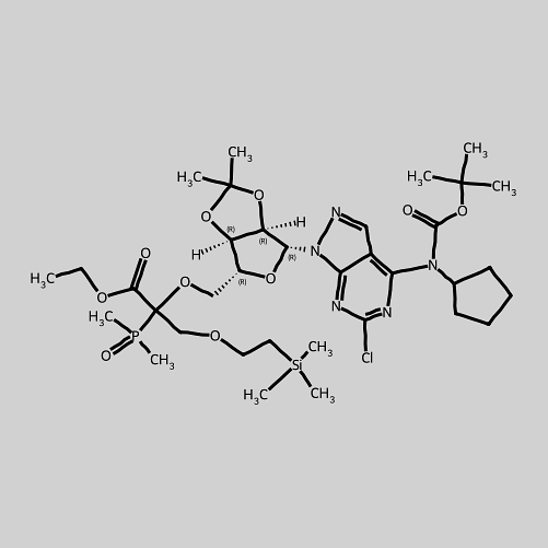 CCOC(=O)C(COCC[Si](C)(C)C)(OC[C@H]1O[C@@H](n2ncc3c(N(C(=O)OC(C)(C)C)C4CCCC4)nc(Cl)nc32)[C@@H]2OC(C)(C)O[C@@H]21)P(C)(C)=O